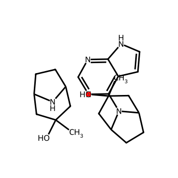 CC1(O)CC2CCC(C1)N2.CC1(O)CC2CCC(C1)N2c1ncnc2[nH]ccc12